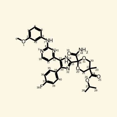 COc1cccc(Nc2nccc(-c3[nH]c(C4(C(N)=O)OCC(C)(C(=O)OC(C)C)CO4)nc3-c3ccc(F)cc3)n2)c1